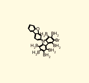 Bc1c(B)c(B)c2c(c1B)c1c(B)c(Br)c(B)c(B)c1n2-c1ccc2c(c1)oc1ccccc12